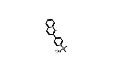 CC(C)(C)[Si](C)(C)c1ccc(-c2[c]c3ccccc3cc2)cc1